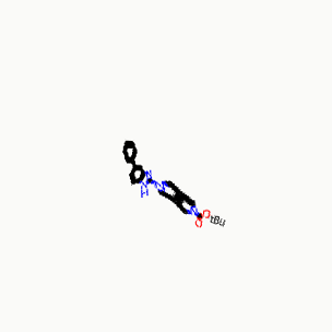 CC(C)(C)OC(=O)N1CC2CN(c3nc4cc(-c5ccccc5)ccc4[nH]3)CC2C1